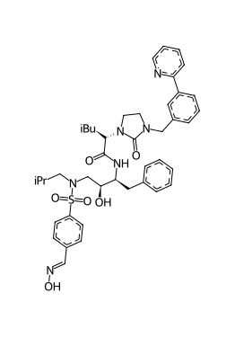 CC[C@H](C)[C@@H](C(=O)N[C@@H](Cc1ccccc1)[C@@H](O)CN(CC(C)C)S(=O)(=O)c1ccc(C=NO)cc1)N1CCN(Cc2cccc(-c3ccccn3)c2)C1=O